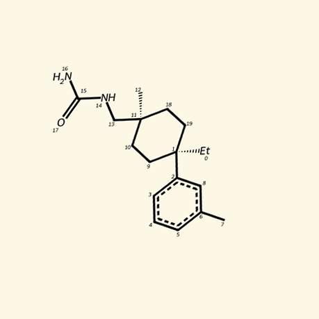 CC[C@]1(c2cccc(C)c2)CC[C@@](C)(CNC(N)=O)CC1